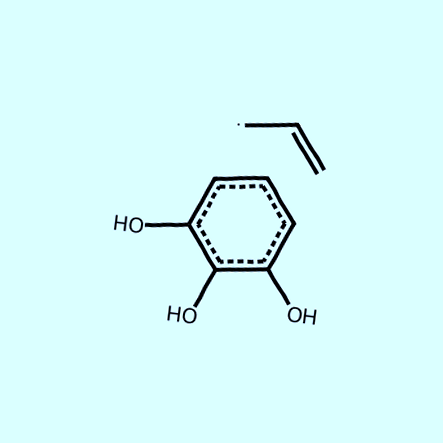 Oc1cccc(O)c1O.[CH2]C=C